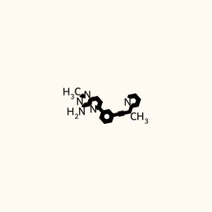 Cc1nc(N)c2nc(-c3cccc(C#C[C@H](C)c4ccccn4)c3)ccc2n1